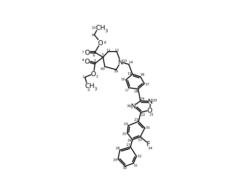 CCOC(=O)C1(C(=O)OCC)CCN(Cc2ccc(-c3noc(-c4ccc(-c5ccccc5)c(F)c4)n3)cc2)CC1